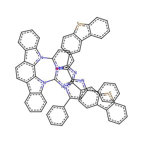 c1ccc(-c2cc(-c3ccccc3)nc(-c3cccc(-n4c5ccccc5c5ccc6c7ccccc7n(-c7nc(-c8ccc9c(c8)sc8ccccc89)nc(-c8ccc9sc%10ccccc%10c9c8)n7)c6c54)n3)n2)cc1